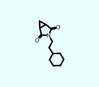 O=C1C2CC2C(=O)N1CCC1CCCCC1